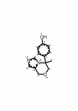 CC1(c2ccc(O)cc2)COCc2cncn21